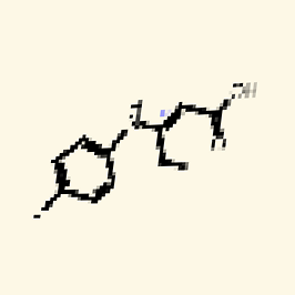 CC/C(=C\C(=O)O)Nc1ccc(F)cc1